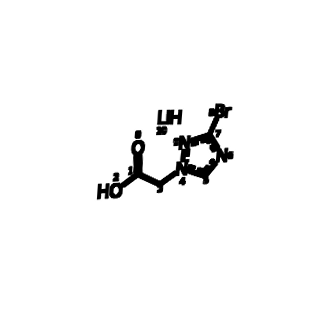 O=C(O)Cn1cnc(Br)n1.[LiH]